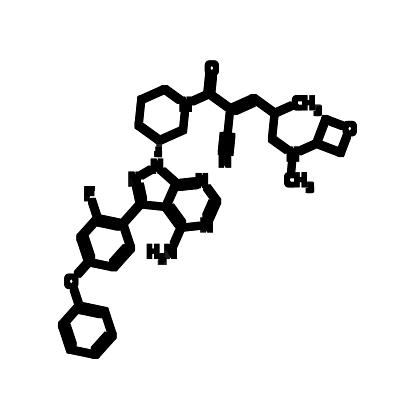 CC(C=C(C#N)C(=O)N1CCC[C@@H](n2nc(-c3ccc(Oc4ccccc4)cc3F)c3c(N)ncnc32)C1)CN(C)C1COC1